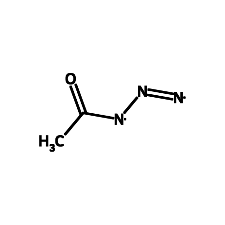 CC(=O)[N]N=[N]